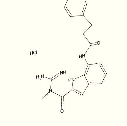 CN(C(=N)N)C(=O)c1cc2cccc(NC(=O)CCc3ccccc3)c2[nH]1.Cl